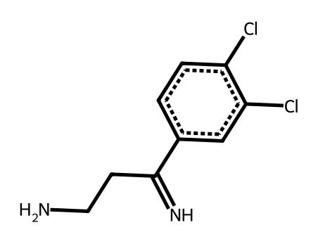 N=C(CCN)c1ccc(Cl)c(Cl)c1